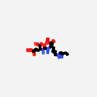 CCc1cn(CCCC[C@H](NC(=O)N[C@@H](CCC(=O)O)C(=O)O)C(=O)O)nn1